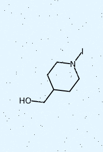 OCC1CCN(I)CC1